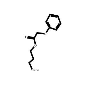 CCCCCCCCCCCCOC(=O)COc1ccccc1